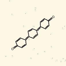 O=C1C=CC(=c2ccc(=C3C=CC(=O)C=C3)cc2)C=C1